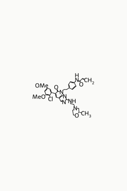 C=CC(=O)Nc1ccc(CCn2c(=O)c(-c3cc(OC)cc(OC)c3Cl)cc3cnc(NCCN4CCO[C@H](C)C4)nc32)cc1